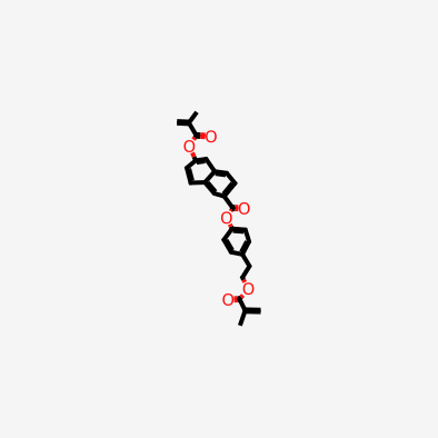 C=C(C)C(=O)OCCc1ccc(OC(=O)c2ccc3cc(OC(=O)C(=C)C)ccc3c2)cc1